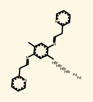 Br.Br.Br.Br.Cc1cc(N=CCc2ccccn2)c(C)cc1N=CCc1ccccn1.[Pd].[Pd]